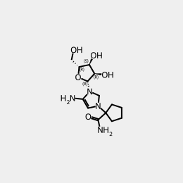 NC(=O)C1(N2C=C(N)N([C@@H]3O[C@H](CO)[C@@H](O)[C@H]3O)C2)CCCC1